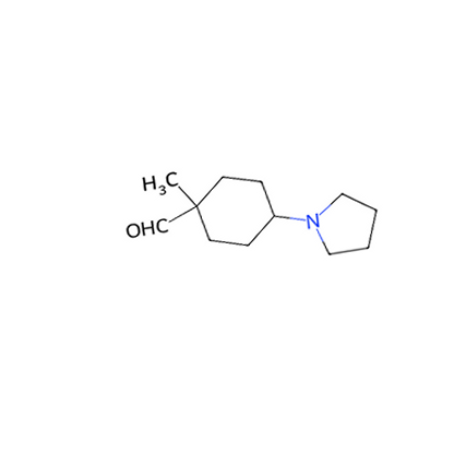 CC1(C=O)CCC(N2CCCC2)CC1